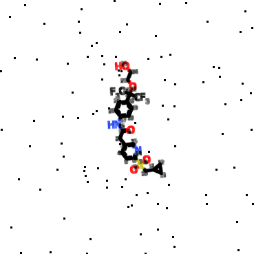 O=C(Cc1ccc(S(=O)(=O)CC2CC2)nc1)Nc1ccc(C(OCCO)(C(F)(F)F)C(F)(F)F)cc1